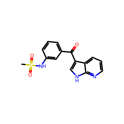 CS(=O)(=O)Nc1cccc(C(=O)c2c[nH]c3ncccc23)c1